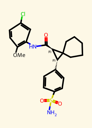 COc1ccc(Cl)cc1NC(=O)[C@@H]1[C@@H](c2ccc(S(N)(=O)=O)cc2)C12CCCCC2